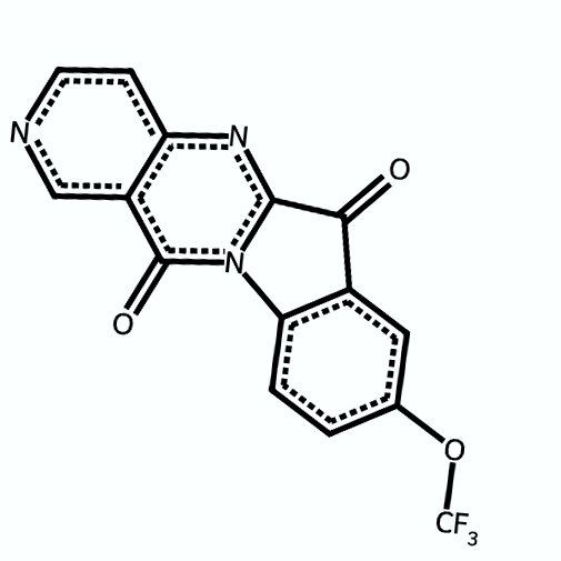 O=C1c2cc(OC(F)(F)F)ccc2-n2c1nc1ccncc1c2=O